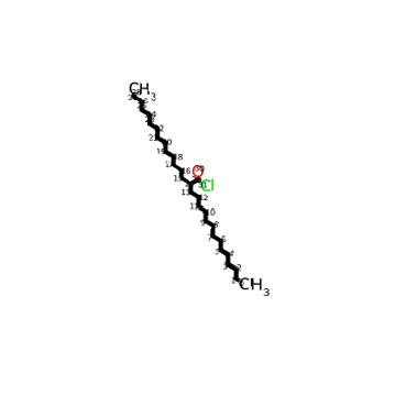 CCCCCCCCCCCCCCC(CCCCCCCCCCCCCC)C(=O)Cl